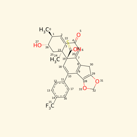 C[C@H]1C=C2C(=O)C=C3C4=C(C(c5ccc(C(F)(F)F)cc5)=C[C@]3(C(O)=S)[C@@]2(C)C[C@@H]1O)C1=C(C4)OCO1